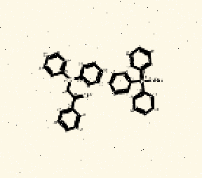 CCCC[B-](c1ccccc1)(c1ccccc1)c1ccccc1.O=C(C[S+](c1ccccc1)c1ccccc1)c1ccccc1